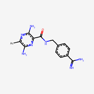 CC(=O)c1nc(N)c(C(=O)NCc2ccc(C(=N)N)cc2)nc1N